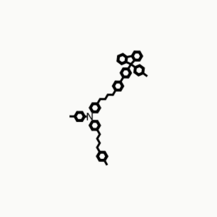 Cc1ccc(CCCCc2ccc(N(c3ccc(C)cc3)c3ccc(CCCCc4ccc(-c5ccc(C6(c7ccc(C)cc7)c7ccccc7-c7ccccc76)cc5)cc4)cc3)cc2)cc1